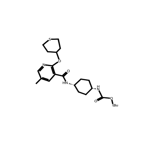 Cc1cnc(OC2CCSCC2)c(C(=O)N[C@H]2CC[C@@H](NC(=O)OC(C)(C)C)CC2)c1